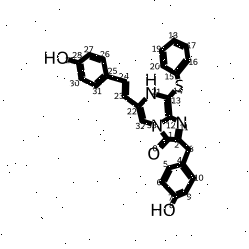 O=c1c(Cc2ccc(O)cc2)nc2c(Sc3ccccc3)[nH]c(/C=C/c3ccc(O)cc3)cn1-2